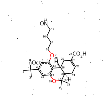 CCCCCCCCC(C)(C)c1cc(OCCCCN=O)c2c(c1)OC(C)(C)[C@@H]1CC=C(C(=O)O)C[C@@H]21